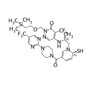 C[C@@H](CN1C=C(C(=O)N2CCN(c3ncc(C(F)(F)F)cn3)CC2)C=C[C@@H]1S)Nc1cnn(COCC[Si](C)(C)C)c(=O)c1C(F)(F)F